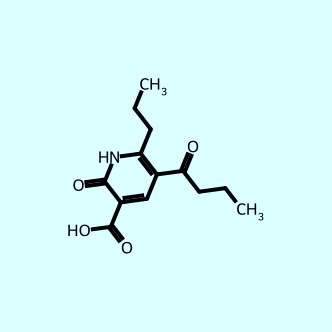 CCCC(=O)c1cc(C(=O)O)c(=O)[nH]c1CCC